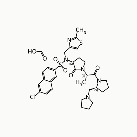 Cc1nc(CN([C@H]2CCN([C@@H](C)C(=O)N3CCC[C@H]3CN3CCCC3)C2=O)S(=O)(=O)c2ccc3cc(Cl)ccc3c2)cs1.O=CO